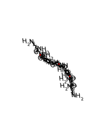 NCCCC[C@H](N)C(=O)CCN(N)C(=O)c1cc2ccc(NC(=O)c3ccc4[nH]c(C(=O)Nc5ccc6cc(C(=O)N(N)CCC(=O)[C@@H](N)CCCCN)[nH]c6c5)cc4c3)cc2[nH]1